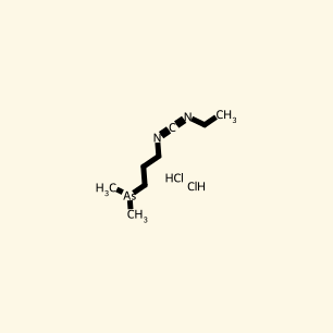 CCN=C=NCCC[As](C)C.Cl.Cl